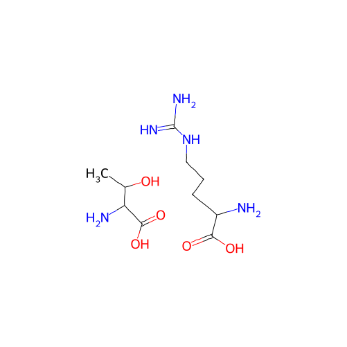 CC(O)C(N)C(=O)O.N=C(N)NCCCC(N)C(=O)O